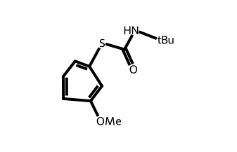 COc1cccc(SC(=O)NC(C)(C)C)c1